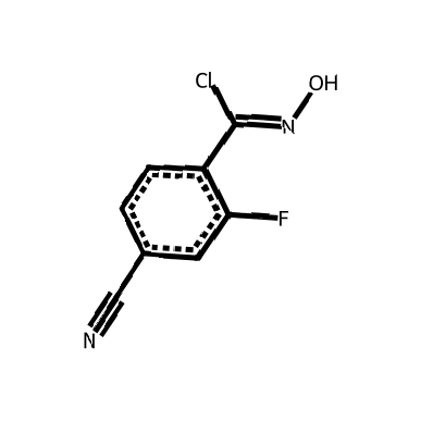 N#Cc1ccc(C(Cl)=NO)c(F)c1